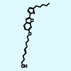 CCCCCc1ccc(-c2cc3ccc(OCCCC/C=C/CCCO)cc3o2)s1